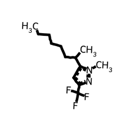 CCCCCCC(C)c1cc(C(F)(F)F)nn1C